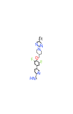 CCc1cnc(N2CCC(COc3c(F)cc(-c4ccc(C5CN5)nc4)cc3F)CC2)nc1